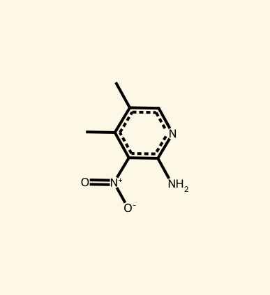 Cc1cnc(N)c([N+](=O)[O-])c1C